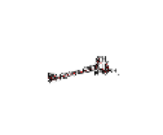 C=Nc1cccc(/N=C(\NCC#CCN(CCC)C(=O)C2=Cc3sccc3N=C(N)C2)NCCOCCOCCOCCOCCOCCOCCOCCOCCOCCOCCC(=O)Oc2c(F)c(F)cc(F)c2F)c1